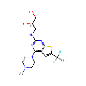 CC(=O)N1CCN(c2nc(NC[C@@H](O)CO)nc3sc(C(C)(F)F)cc23)CC1